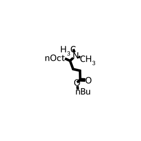 CCCCCCCCC(CCC(=O)OCCCC)N(C)C